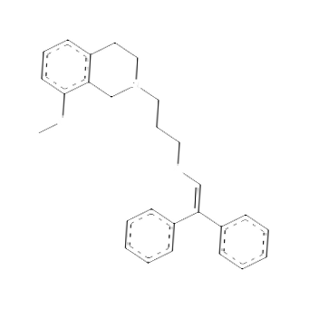 COc1cccc2c1CN(CCCOC=C(c1ccccc1)c1ccccc1)CC2